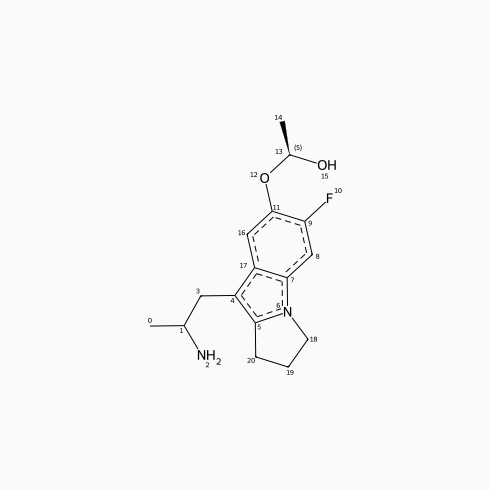 CC(N)Cc1c2n(c3cc(F)c(O[C@@H](C)O)cc13)CCC2